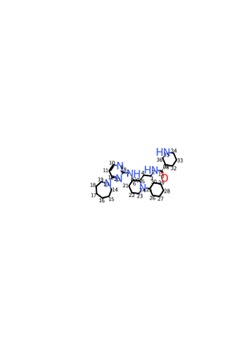 O=C(NCC[C@@H]1[C@@H](Nc2nccc(N3CCCCCC3)n2)CCCN1C1CCCCC1)[C@H]1CCCNC1